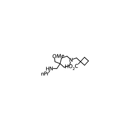 CCCNCC1(COC)CCN(CC2(C(=O)O)CCC2)CC1